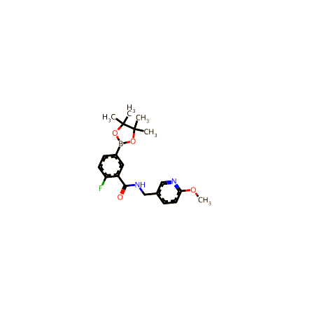 COc1ccc(CNC(=O)c2cc(B3OC(C)(C)C(C)(C)O3)ccc2F)cn1